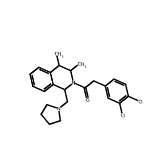 CC1c2ccccc2C(CN2CCCC2)N(C(=O)Cc2ccc(Cl)c(Cl)c2)C1C